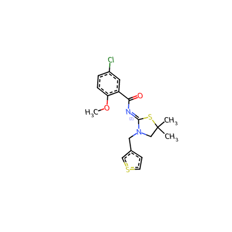 COc1ccc(Cl)cc1C(=O)/N=C1\SC(C)(C)CN1Cc1ccsc1